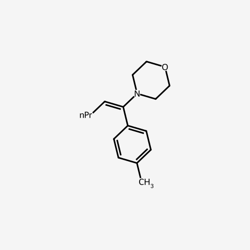 CCC/C=C(\c1ccc(C)cc1)N1CCOCC1